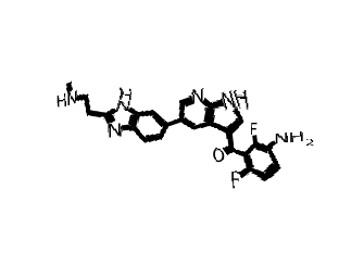 CNCCc1nc2ccc(-c3cnc4[nH]cc(C(=O)c5c(F)ccc(N)c5F)c4c3)cc2[nH]1